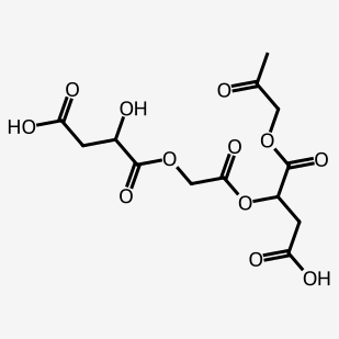 CC(=O)COC(=O)C(CC(=O)O)OC(=O)COC(=O)C(O)CC(=O)O